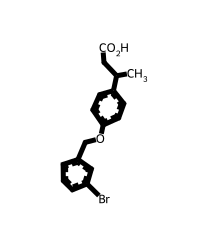 CC(CC(=O)O)c1ccc(OCc2cccc(Br)c2)cc1